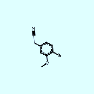 COc1cc(CC#N)ccc1Br